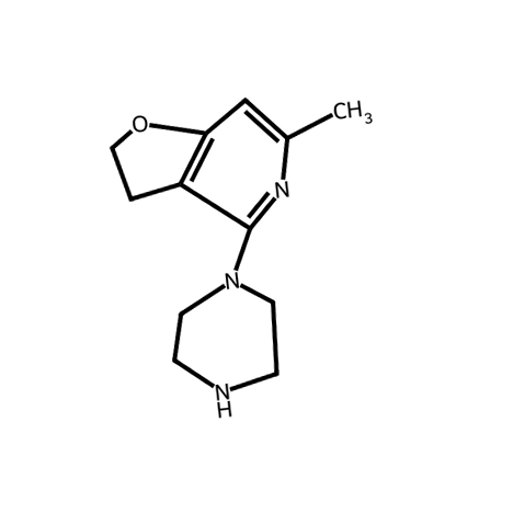 Cc1cc2c(c(N3CCNCC3)n1)CCO2